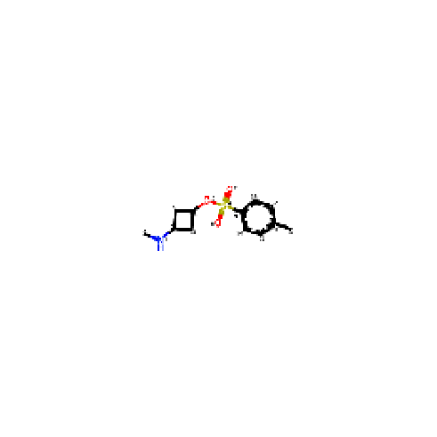 CNC1CC(OS(=O)(=O)c2ccc(C)cc2)C1